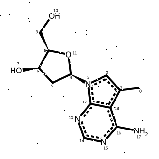 Cc1cn([C@H]2C[C@@H](O)[C@@H](CO)O2)c2ncnc(N)c12